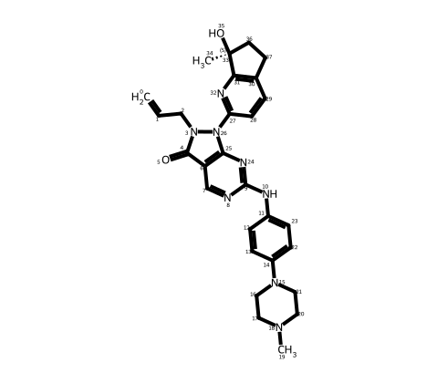 C=CCn1c(=O)c2cnc(Nc3ccc(N4CCN(C)CC4)cc3)nc2n1-c1ccc2c(n1)[C@@](C)(O)CC2